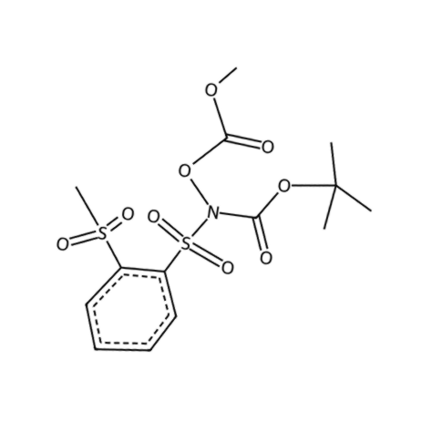 COC(=O)ON(C(=O)OC(C)(C)C)S(=O)(=O)c1ccccc1S(C)(=O)=O